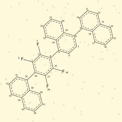 Fc1c(F)c(-c2ccc(-c3cccc4ccccc34)c3ccccc23)c(F)c(F)c1-c1cccc2ccccc12